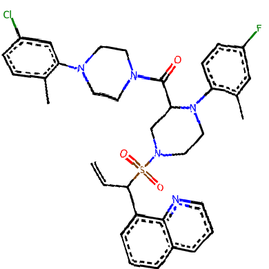 C=CC(c1cccc2cccnc12)S(=O)(=O)N1CCN(c2ccc(F)cc2C)C(C(=O)N2CCN(c3cc(Cl)ccc3C)CC2)C1